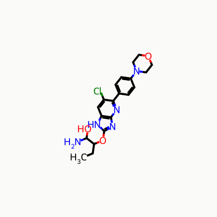 CCC(Oc1nc2nc(-c3ccc(N4CCOCC4)cc3)c(Cl)cc2[nH]1)C(N)O